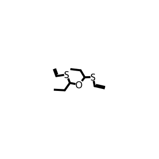 C=CSC(CC)OC(CC)SC=C